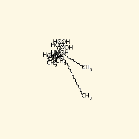 CCCCCCCCCCCCCCCCCCCCCCCCCC(=O)[C@@](O)(CCCCCCCCCCCCCC)[C@@H](O)[C@H](CO[C@H]1O[C@H](CO)[C@H](O)[C@H](O)[C@H]1O)NC(=O)CC(C)(C)c1c(C)cc(C)cc1OC(C)=O